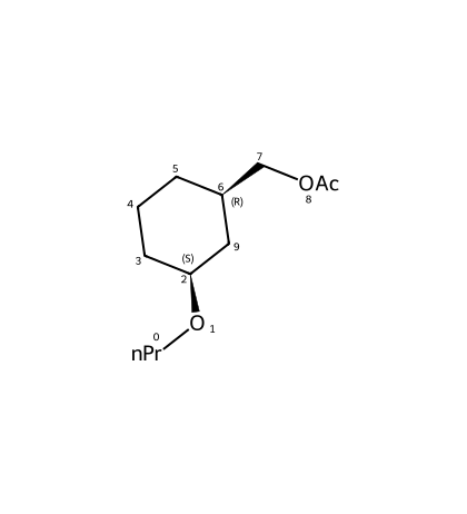 CCCO[C@H]1CCC[C@@H](COC(C)=O)C1